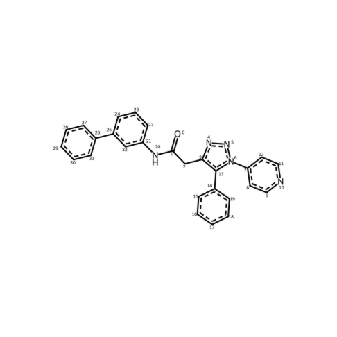 O=C(Cc1nnn(-c2ccncc2)c1-c1ccccc1)Nc1cccc(-c2ccccc2)c1